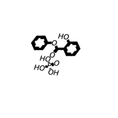 O=C(Oc1ccccc1)c1ccccc1O.O=P(O)(O)O